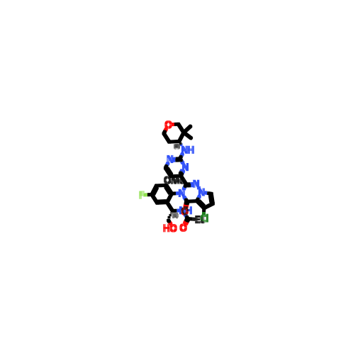 CCC(=O)N[C@H](CO)c1cc(F)cc(OC)c1-n1c(-c2ccnc(N[C@@H]3CCOCC3(C)C)n2)nn2ccc(Cl)c2c1=O